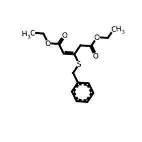 CCOC(=O)C=C(CC(=O)OCC)SCc1ccccc1